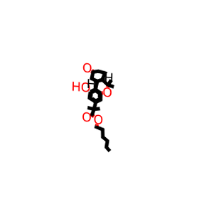 CCCCCCOC(=O)C(C)(C)c1cc(O)c2c(c1)OC(C)(C)[C@@H]1CCC(=O)C[C@@H]21